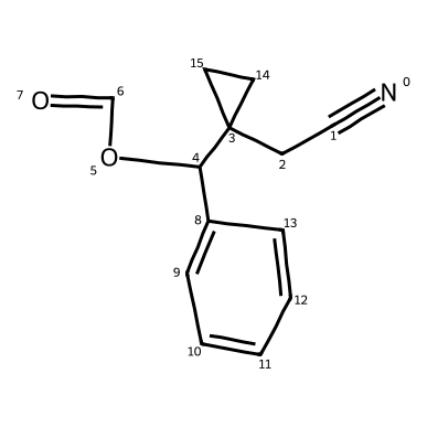 N#CCC1(C(OC=O)c2ccccc2)CC1